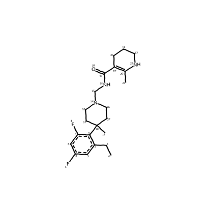 CCc1cc(F)cc(F)c1C1(C)CCN(CNC(=O)C2=C(C)NCCC2)CC1